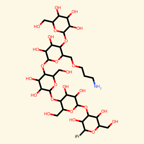 CC(C)C1OC(CO)C(O)C(OC2OC(CO)C(OC3OC(CO)C(OC4OC(COCCCN)C(OC5OC(CO)C(O)C(O)C5O)C(O)C4O)C(O)C3O)C(O)C2O)C1O